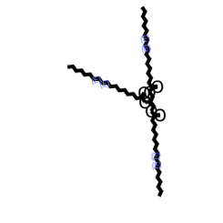 CCCCCC/C=C/C=C/CCCCCCCC(=O)OCC(COC(=O)CCCCCCC/C=C/C=C/CCCCCC)OC(=O)CCCCCCC/C=C/C=C/CCCCCC